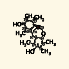 Cc1c(C)c2c(c(C)c1O)C1CCC(O2)Oc2c(C)c(C)c(O)c(C)c21